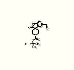 CC(C)(C)OC(=O)N1CCC2(CC1)C(=O)Nc1cnc(C=O)nc12